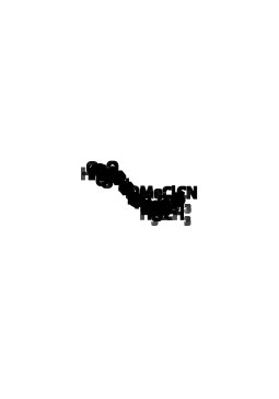 COC1(CN2CCN(c3ccc4c(c3)CN([C@H]3C(C)(C)[C@H](Oc5ccc(C#N)c(Cl)c5)C3(C)C)C4=O)CC2)CCN(c2ccc3c(c2)C(=O)N(C2CCC(=O)NC2=O)C3=O)CC1